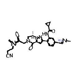 C/N=C/c1ccc(-c2cc3n(n2)[C@@H](C)CN(CC(=O)N(C)CCC#N)C3=O)c(NC(=O)C2CC2)c1